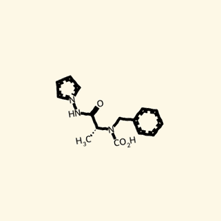 C[C@H](C(=O)Nn1cccc1)N(Cc1ccccc1)C(=O)O